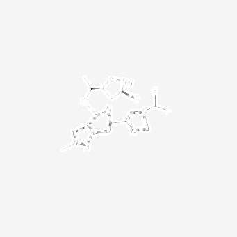 CC(Oc1nc(-c2cn(C(F)F)cn2)cc2nn(C)cc12)[C@H]1CNC(=O)C1